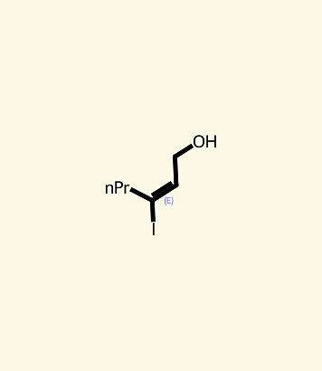 CCC/C(I)=C\CO